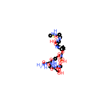 Cc1c(-c2ccc(N3CCc4cccc(C(=O)Nc5nc6ccccc6s5)c4C3)nc2C(=O)O)cnn1CC12CC3(OCCN(CCS(=O)(=O)O)C(=O)OCc4ccc(NC(=O)[C@H](CCCNC(N)=O)NC(=O)[C@@H](NC(=O)[C@H](CCCC(=O)O)NC(=O)CN5C(=O)C=CC5=O)C(C)C)cc4)CC4(C)CC(C)(C1)C4(C2)C3